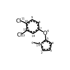 Cn1[c]ccc1Oc1ccc(Cl)c(Cl)c1